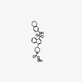 CC(C)(C)OC(=O)N1CCC(c2ccc(S(=O)(=O)Nc3ccc4c(c3)CCCC4)c3ccccc23)CC1